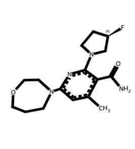 Cc1cc(N2CCCOCC2)nc(N2CC[C@@H](F)C2)c1C(N)=O